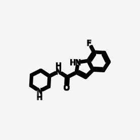 O=C(NC1CCCNC1)c1cc2cccc(F)c2[nH]1